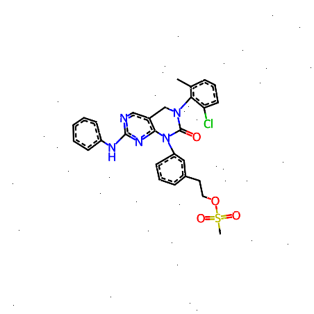 Cc1cccc(Cl)c1N1Cc2cnc(Nc3ccccc3)nc2N(c2cccc(CCOS(C)(=O)=O)c2)C1=O